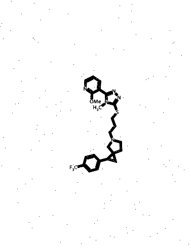 COc1ncccc1-c1nnc(SCCCN2CCC3(CC3c3ccc(C(F)(F)F)cc3)C2)n1C